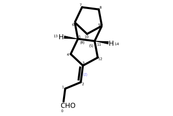 O=CC/C=C1\C[C@@H]2C3CCC(C3)[C@@H]2C1